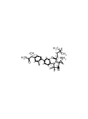 C[C@@H](C(N)=O)c1ccc(-c2ccc(C(N(C(=O)[C@@H](N)CC(C)(C)F)C3(C#N)CC3)C(F)(F)F)cc2)c(F)c1